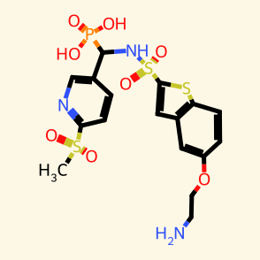 CS(=O)(=O)c1ccc(C(NS(=O)(=O)c2cc3cc(OCCN)ccc3s2)P(=O)(O)O)cn1